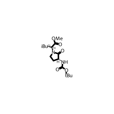 CC[C@H](C)[C@@H](C(=O)OC)N1CC[C@@H](NC(=O)OC(C)(C)C)C1=O